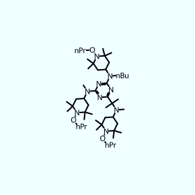 CCCCN(c1nc(N(C)C2CC(C)(C)N(OCCC)C(C)(C)C2)nc(C(C)(C)N(C)C2CC(C)(C)N(OCCC)C(C)(C)C2)n1)C1CC(C)(C)N(OCCC)C(C)(C)C1